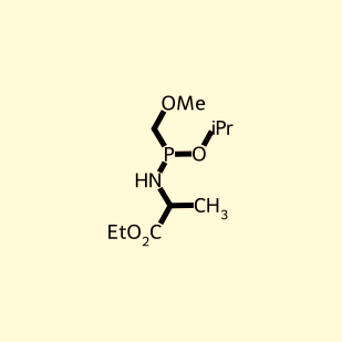 CCOC(=O)C(C)NP(COC)OC(C)C